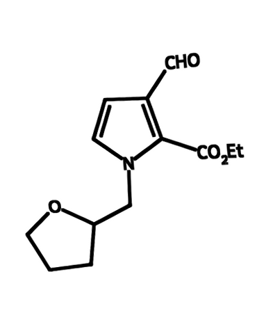 CCOC(=O)c1c(C=O)ccn1CC1CCCO1